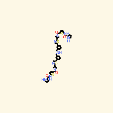 O=C(Nc1ccc(C(=O)N2CC(c3ncc(-c4cccc(CNCc5cccc(-c6cnc(C7CN(C(=O)c8ccc(NC(=O)[C@@H]9CCCN9)s8)C7)s6)c5)c4)s3)C2)s1)C1CCCN1